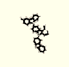 C=Cc1c(/C=C\C)n(-c2ccc3oc4ccccc4c3c2)c2ccc(-n3c4ccccc4c4cc(C)ccc43)cc12